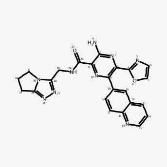 Nc1nc(-c2ncco2)c(-c2ccc3ncccc3c2)nc1C(=O)NCc1nnc2n1CCC2